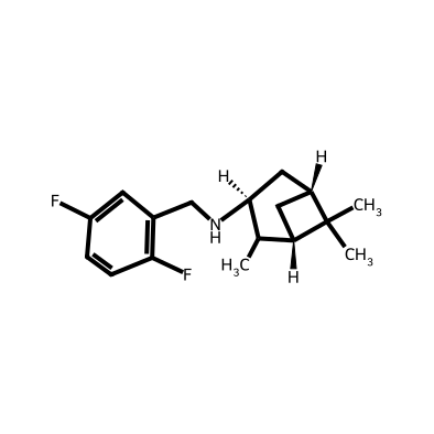 CC1[C@@H](NCc2cc(F)ccc2F)C[C@H]2C[C@@H]1C2(C)C